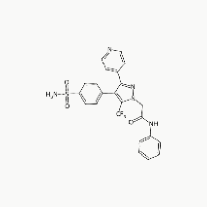 NS(=O)(=O)c1ccc(-c2c(-c3ccncc3)nn(CC(=O)Nc3ccccc3)c2C(F)(F)F)cc1